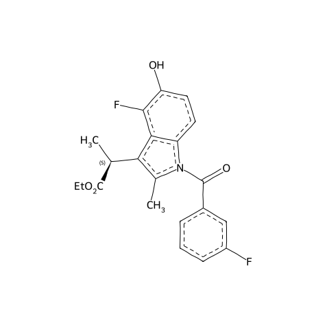 CCOC(=O)[C@@H](C)c1c(C)n(C(=O)c2cccc(F)c2)c2ccc(O)c(F)c12